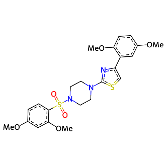 COc1ccc(S(=O)(=O)N2CCN(c3nc(-c4cc(OC)ccc4OC)cs3)CC2)c(OC)c1